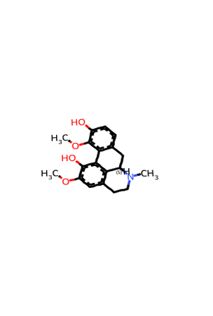 COc1cc2c3c(c1O)-c1c(ccc(O)c1OC)C[C@@H]3N(C)CC2